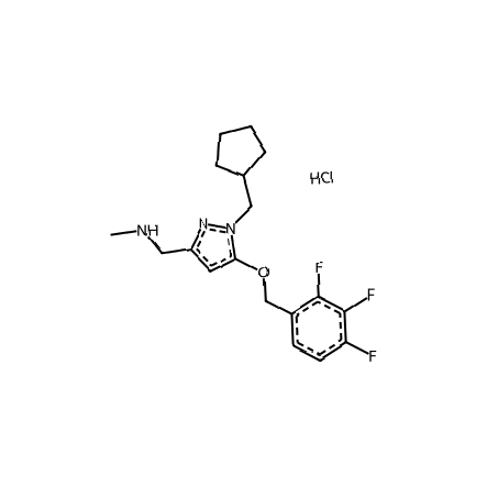 CNCc1cc(OCc2ccc(F)c(F)c2F)n(CC2CCCC2)n1.Cl